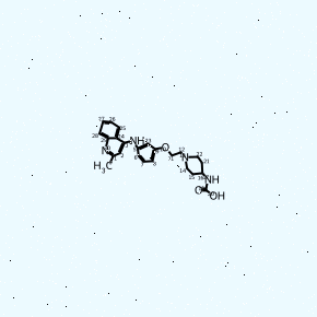 Cc1cc(Nc2cccc(OCCN3CCC(NC(=O)O)CC3)c2)c2ccccc2n1